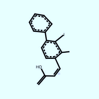 C=C(O)/C=C\c1ccc(-c2ccccc2)c(I)c1C